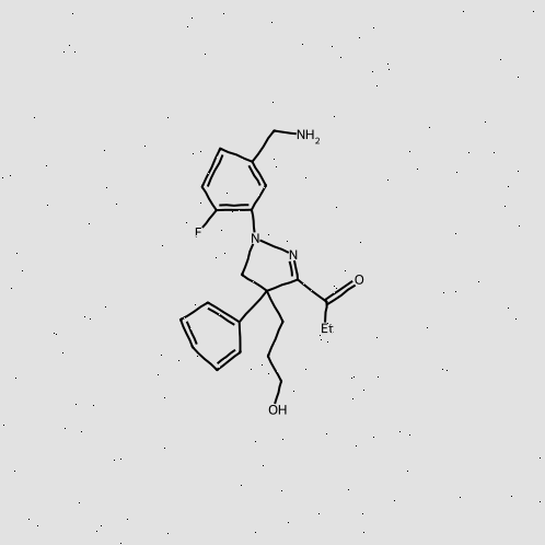 CCC(=O)C1=NN(c2cc(CN)ccc2F)CC1(CCCO)c1ccccc1